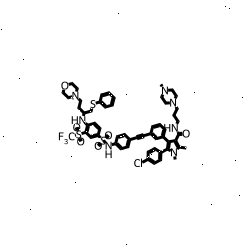 Cc1c(C(=O)NCCCN2CCN(C)CC2)c(-c2cccc(C#Cc3ccc(NS(=O)(=O)c4ccc(NC(CCN5CCOCC5)CSc5ccccc5)c(S(=O)(=O)C(F)(F)F)c4)cc3)c2)c(-c2ccc(Cl)cc2)n1C